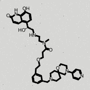 CN(CCNC[C@H](O)c1ccc(O)c2[nH]c(=O)ccc12)C(=O)CCOCCc1cccc(CN2CCC3(CC2)CN(c2ccncc2)CCO3)c1